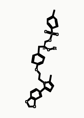 CCO[C@H](COS(=O)(=O)c1ccc(C)cc1)Cc1ccc(OCCn2c(C)ccc2-c2ccc3c(c2)OCO3)cc1